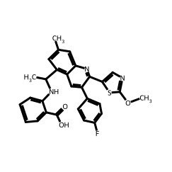 COc1ncc(-c2nc3cc(C)cc(C(C)Nc4ccccc4C(=O)O)c3cc2-c2ccc(F)cc2)s1